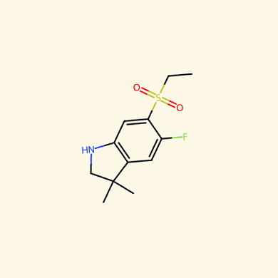 CCS(=O)(=O)c1cc2c(cc1F)C(C)(C)CN2